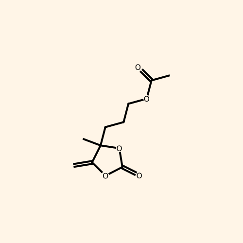 C=C1OC(=O)OC1(C)CCCOC(C)=O